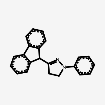 c1ccc(N2CCC(C3c4ccccc4-c4ccccc43)=N2)cc1